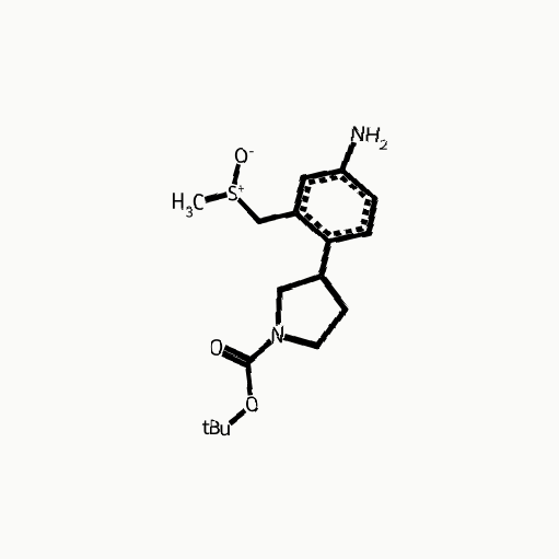 C[S+]([O-])Cc1cc(N)ccc1C1CCN(C(=O)OC(C)(C)C)C1